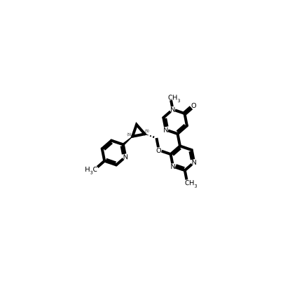 Cc1ccc([C@H]2C[C@@H]2COc2nc(C)ncc2-c2cc(=O)n(C)cn2)nc1